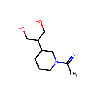 CC(=N)N1CCCC(C(CO)CO)C1